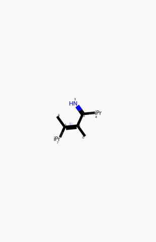 C/C(C(=N)C(C)C)=C(/C)C(C)C